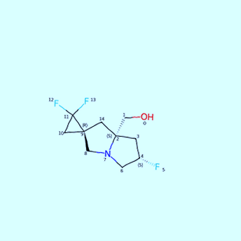 OC[C@]12C[C@H](F)CN1C[C@]1(CC1(F)F)C2